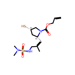 C=CCOC(=O)N1C[C@@H](S)C[C@H]1C=C(C)CNS(=O)(=O)N(C)C